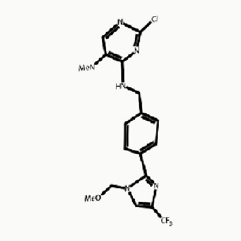 CNc1cnc(Cl)nc1NCc1ccc(-c2nc(C(F)(F)F)cn2COC)cc1